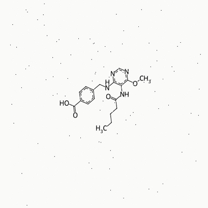 CCCCC(=O)Nc1c(NCc2ccc(C(=O)O)cc2)ncnc1OC